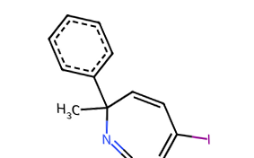 CC1(c2ccccc2)C=CC(I)=CC=N1